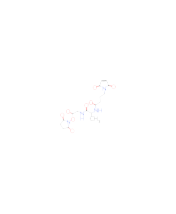 CC(NC(=O)CCCN1C(=O)C=CC1=O)C(=O)NCC(=O)ON1C(=O)CCC1=O